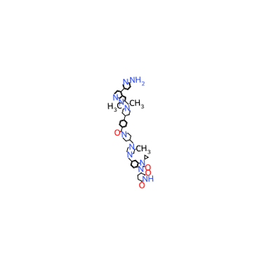 C[C@H]1CN(Cc2ccc3c(c2)n(C2CC2)c(=O)n3[C@@H]2CCC(=O)NC2=O)CCN1CC1CCN(C(=O)c2ccc(C3CCN([C@@H](C)c4cc5c(-c6ccc(N)nc6)ccnc5n4C)CC3)cc2)CC1